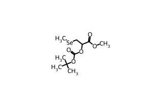 COC(=O)C(C[Se]C)OC(=O)OC(C)(C)C